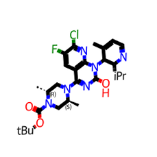 CC1=CC=NC(C(C)C)C1N1c2nc(Cl)c(F)cc2C(N2C[C@@H](C)N(C(=O)OC(C)(C)C)C[C@@H]2C)=NC1O